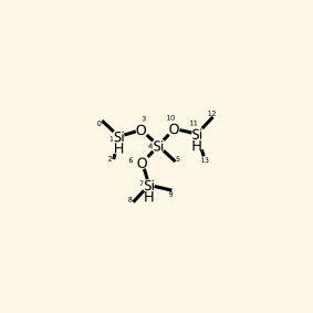 C[SiH](C)O[Si](C)(O[SiH](C)C)O[SiH](C)C